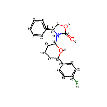 O=C1OC[C@H](c2ccccc2)N1C1CCCC(c2ccc(F)cc2)O1